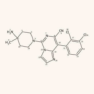 CC1(N)CCN(c2nc(C#N)c(-c3cccc(Cl)c3Cl)c3nccn23)CC1